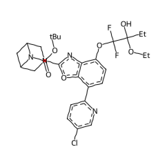 CCOC(O)(CC)C(F)(F)Oc1ccc(-c2ccc(Cl)cn2)c2oc(N3CC4CC(C3)N4C(=O)OC(C)(C)C)nc12